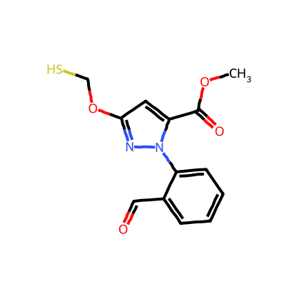 COC(=O)c1cc(OCS)nn1-c1ccccc1C=O